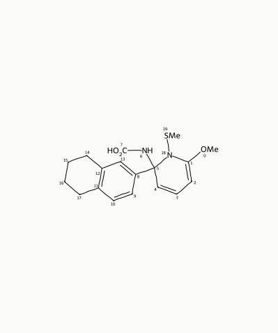 COC1=CC=CC(NC(=O)O)(c2ccc3c(c2)CCCC3)N1SC